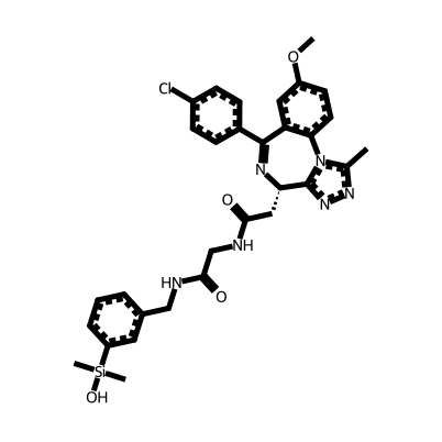 COc1ccc2c(c1)C(c1ccc(Cl)cc1)=N[C@@H](CC(=O)NCC(=O)NCc1cccc([Si](C)(C)O)c1)c1nnc(C)n1-2